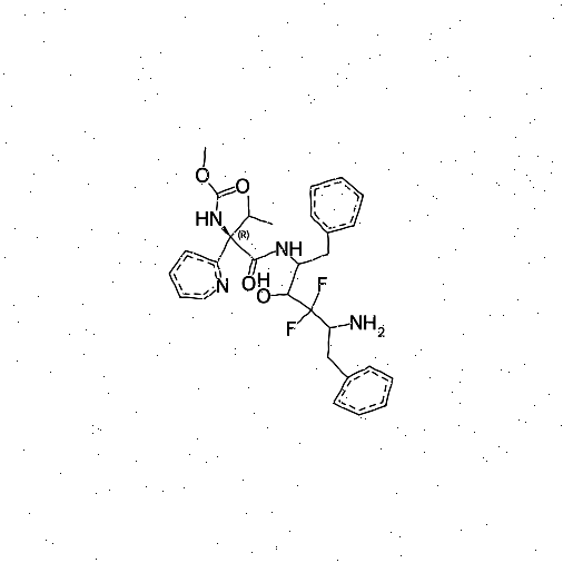 COC(=O)N[C@@](C(=O)NC(Cc1ccccc1)C(O)C(F)(F)C(N)Cc1ccccc1)(c1ccccn1)C(C)C